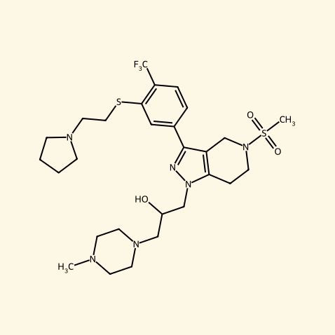 CN1CCN(CC(O)Cn2nc(-c3ccc(C(F)(F)F)c(SCCN4CCCC4)c3)c3c2CCN(S(C)(=O)=O)C3)CC1